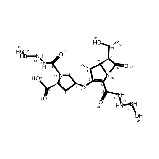 C[C@H]1C(S[C@H]2C[C@@H](C(=O)O)N(C(=O)PNBO)C2)=C(C(=O)PNBO)N2C(=O)[C@H]([C@@H](C)O)C12